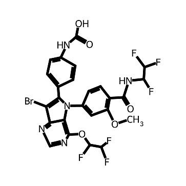 COc1cc(-n2c(-c3ccc(NC(=O)O)cc3)c(Br)c3ncnc(OC(F)C(F)F)c32)ccc1C(=O)NC(F)C(F)F